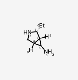 CC[C@H]1NC[C@H]2[C@H](N)[C@H]21